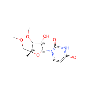 COC[C@@]1(C)O[C@@H](n2ccc(=O)[nH]c2=O)[C@@H](O)C1OC